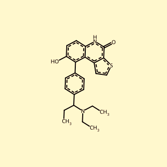 CCC(c1ccc(-c2c(O)ccc3[nH]c(=O)c4sccc4c23)cc1)N(CC)CC